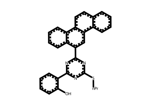 CCCSc1nc(-c2ccccc2O)nc(-c2cc3c4ccccc4ccc3c3ccccc23)n1